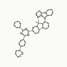 CC1(C)c2cc(-c3nc(-c4ccccc4)nc(-c4ccc(-c5ccccc5)cc4)n3)ccc2-c2cccc(-n3c4ccccc4c4cccnc43)c21